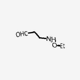 CCONCCC=O